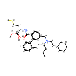 CCC[C@H](C)N(CCC1CCCCC1)Cc1ccc(C(=O)N[C@@H](CCSC)C(=O)OC)c(-c2ccccc2C)c1